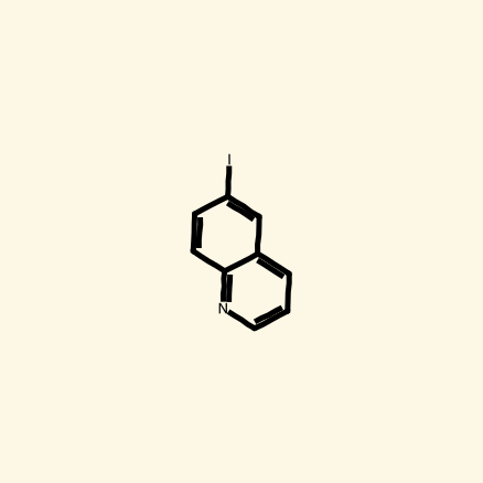 Ic1ccc2ncccc2c1